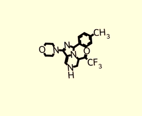 Cc1ccc(C2N=C(N3CCOCC3)C3=CNCC(C(=O)C(F)(F)F)N32)cc1